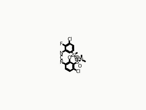 CN(C)S(=O)(=O)c1c(Cl)ccc(N=C=Nc2cccc(Cl)c2F)c1O[Si](C)(C)C(C)(C)C